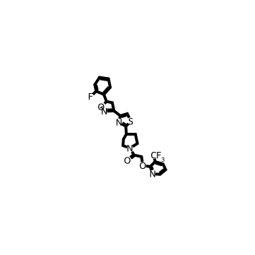 O=C(COc1ncccc1C(F)(F)F)N1CCC(c2nc(C3=NOC(c4ccccc4F)C3)cs2)CC1